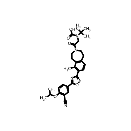 Cc1c(-c2noc(-c3ccc(OC(C)C)c(C#N)c3)n2)ccc2c1CCN(C(=O)CN(C(=O)O)C(C)(C)C)CC2